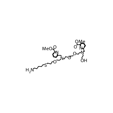 COC(=O)c1cccc(CN(CCO)CCOCCOCCN(CCOCCCSCCCCCN)Cc2cccc(C(=O)OC)n2)n1